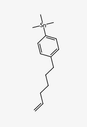 C=CCCCCc1cc[c]([Sn]([CH3])([CH3])[CH3])cc1